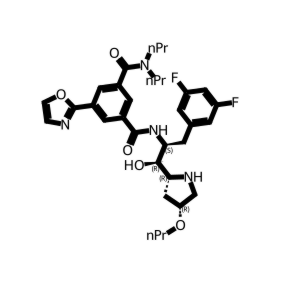 CCCO[C@H]1CN[C@@H]([C@@H](O)[C@H](Cc2cc(F)cc(F)c2)NC(=O)c2cc(C(=O)N(CCC)CCC)cc(-c3ncco3)c2)C1